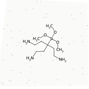 CO[Si](OC)(OC)C(CCN)(CCN)CCN